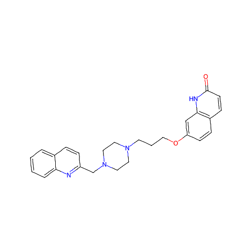 O=c1ccc2ccc(OCCCN3CCN(Cc4ccc5ccccc5n4)CC3)cc2[nH]1